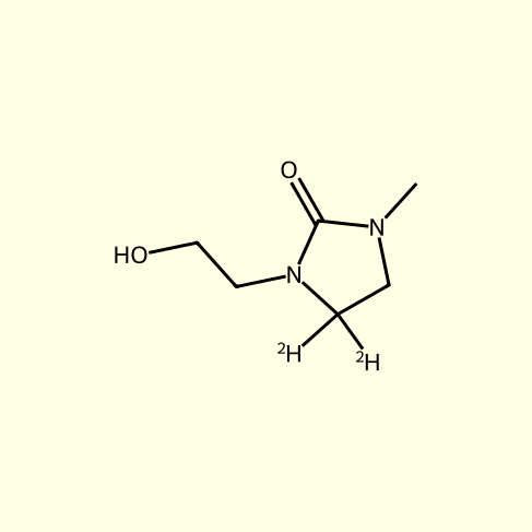 [2H]C1([2H])CN(C)C(=O)N1CCO